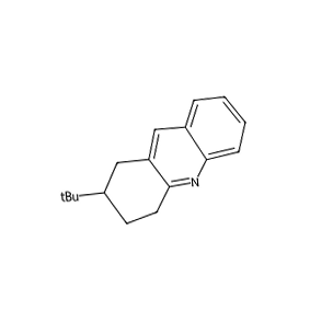 CC(C)(C)C1CCc2nc3ccccc3cc2C1